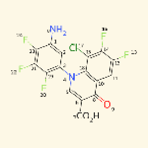 Nc1cc(-n2cc(C(=O)O)c(=O)c3cc(F)c(F)c(Cl)c32)c(F)c(F)c1F